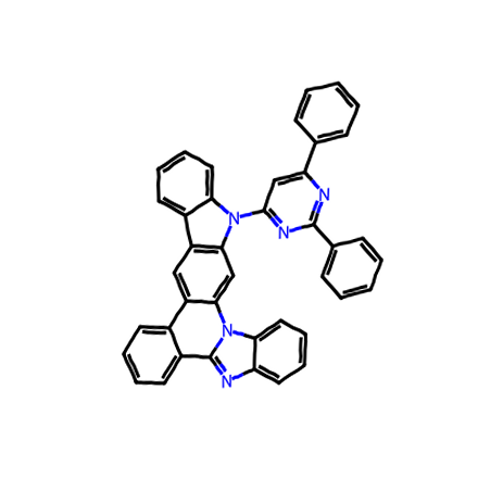 c1ccc(-c2cc(-n3c4ccccc4c4cc5c6ccccc6c6nc7ccccc7n6c5cc43)nc(-c3ccccc3)n2)cc1